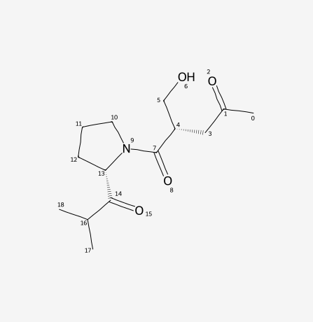 CC(=O)C[C@@H](CO)C(=O)N1CCC[C@H]1C(=O)C(C)C